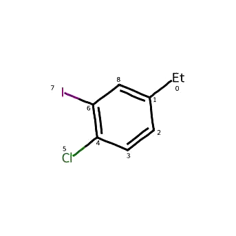 [CH2]Cc1ccc(Cl)c(I)c1